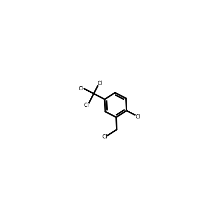 ClCc1cc(C(Cl)(Cl)Cl)ccc1Cl